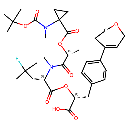 C[C@@H](OC(=O)C1(N(C)C(=O)OC(C)(C)C)CC1)C(=O)N(C)[C@@H](CC(C)(C)F)C(=O)O[C@H](Cc1ccc(C2=CCOCC2)cc1)C(=O)O